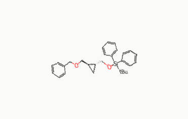 CC(C)(C)[Si](OC[C@@H]1C[C@H]1COCc1ccccc1)(c1ccccc1)c1ccccc1